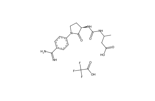 CC(CC(=O)O)NC(=O)N[C@@H]1CCN(c2ccc(C(=N)N)cc2)C1=O.O=C(O)C(F)(F)F